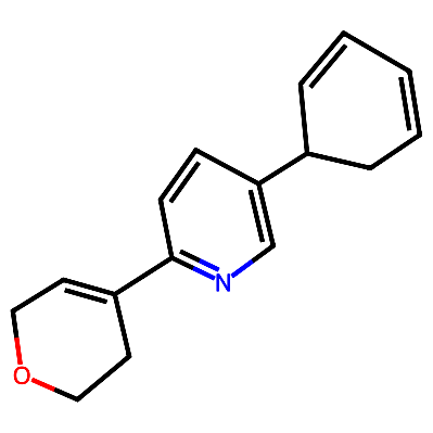 C1=CCC(c2ccc(C3=CCOCC3)nc2)C=C1